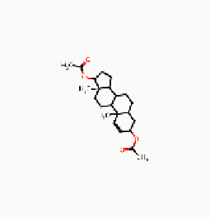 CC(=O)OC1C=C[C@@]2(C)C(CCC3C2CC[C@]2(C)C(OC(C)=O)CCC32)C1